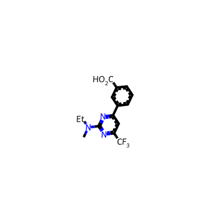 CCN(C)c1nc(-c2cccc(C(=O)O)c2)cc(C(F)(F)F)n1